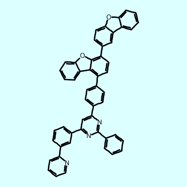 c1ccc(-c2nc(-c3ccc(-c4ccc(-c5ccc6oc7ccccc7c6c5)c5oc6ccccc6c45)cc3)cc(-c3cccc(-c4ccccn4)c3)n2)cc1